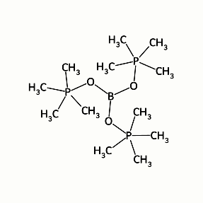 CP(C)(C)(C)OB(OP(C)(C)(C)C)OP(C)(C)(C)C